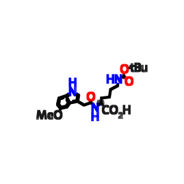 COc1ccc2[nH]cc(CC(=O)N[C@@H](CCCCNC(=O)OC(C)(C)C)C(=O)O)c2c1